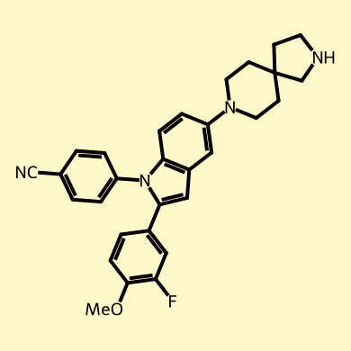 COc1ccc(-c2cc3cc(N4CCC5(CCNC5)CC4)ccc3n2-c2ccc(C#N)cc2)cc1F